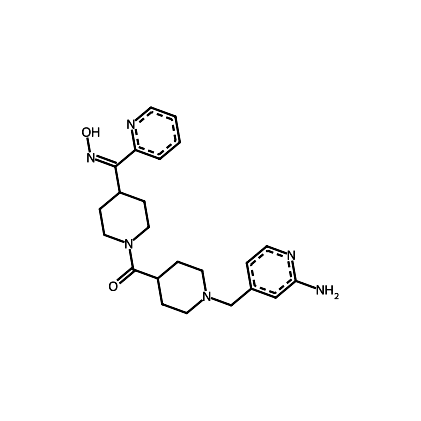 Nc1cc(CN2CCC(C(=O)N3CCC(C(=NO)c4ccccn4)CC3)CC2)ccn1